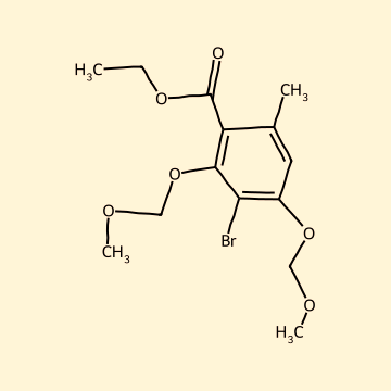 CCOC(=O)c1c(C)cc(OCOC)c(Br)c1OCOC